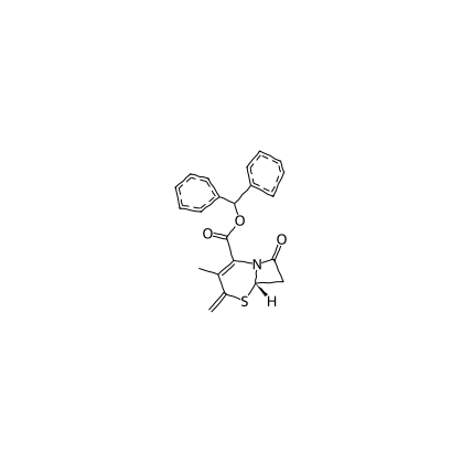 C=C1S[C@H]2CC(=O)N2C(C(=O)OC(c2ccccc2)c2ccccc2)=C1C